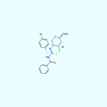 O=C[C@H]1C[C@H]2CSC(NC(=O)c3ccccc3)=N[C@@]2(c2cc(Br)ccc2F)CO1